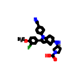 COc1ccc(-c2cc3cc(N[C@H]4CCN(C(=O)O)C4)ccc3n2-c2ccc(C#N)cc2)cc1F